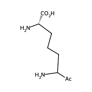 CC(=O)C(N)CCC[C@H](N)C(=O)O